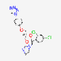 Clc1ccc([C@]2(Cn3ccnc3)OC[C@@H](COc3ccc(-n4cnnn4)cc3)O2)c(Cl)c1